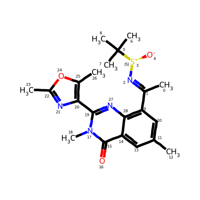 CC(=N[S@+]([O-])C(C)(C)C)c1cc(C)cc2c(=O)n(C)c(-c3nc(C)oc3C)nc12